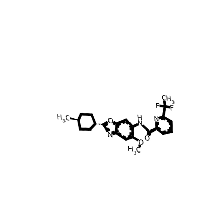 COc1cc2nc([C@H]3CC[C@H](C)CC3)oc2cc1NC(=O)c1cccc(C(C)(F)F)n1